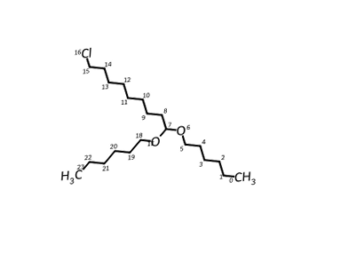 CCCCCCOC(CCCCCCCCCl)OCCCCCC